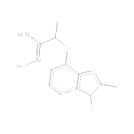 Cc1oc2c(OC(C)C(N)=NO)cccc2c1C